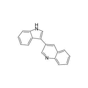 c1ccc2ncc(-c3c[nH]c4ccccc34)cc2c1